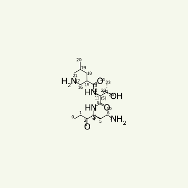 CCC(=O)[C@H](CCN)NC(=O)[C@@H](NC(=O)C(CN)CC(C)C)[C@H](C)O